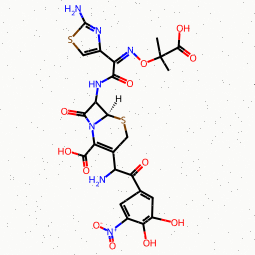 CC(C)(O/N=C(\C(=O)NC1C(=O)N2C(C(=O)O)=C(C(N)C(=O)c3cc(O)c(O)c([N+](=O)[O-])c3)CS[C@H]12)c1csc(N)n1)C(=O)O